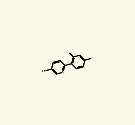 CCc1ccc(-c2ccc(F)cc2F)nc1